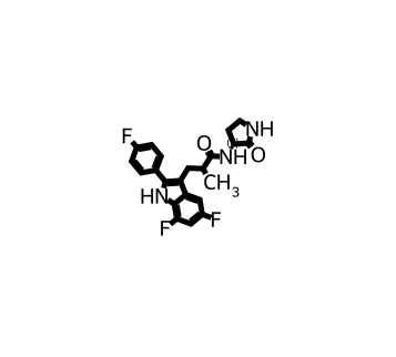 CC(Cc1c(-c2ccc(F)cc2)[nH]c2c(F)cc(F)cc12)C(=O)N[C@H]1CCNC1=O